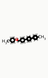 Cc1ccc(-c2ccc(C3C=CC(COC4CCC(C)CC4)CC3)cc2)cc1